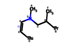 CCC(C)/C=C\N(C)CC(C)C(C)C